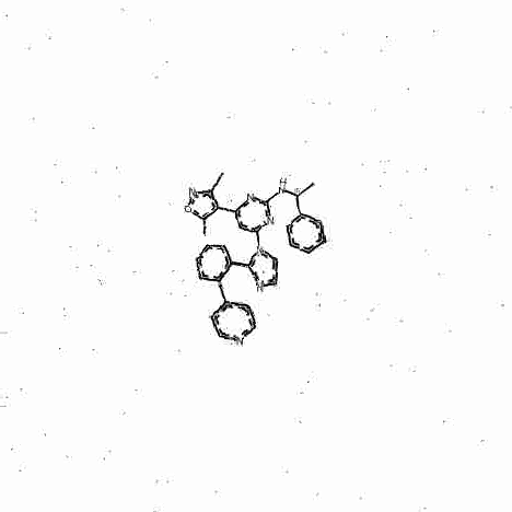 Cc1noc(C)c1-c1cc(-n2ccnc2-c2ccccc2-c2ccncc2)nc(N[C@@H](C)c2ccccc2)n1